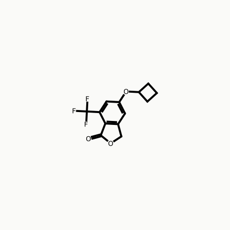 O=C1OCc2cc(OC3CCC3)cc(C(F)(F)F)c21